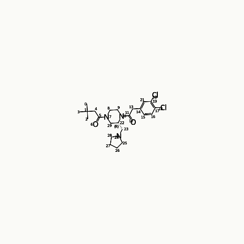 CC(C)(C)CC(=O)N1CCN(C(=O)Cc2ccc(Cl)c(Cl)c2)[C@H](CN2CCCC2)C1